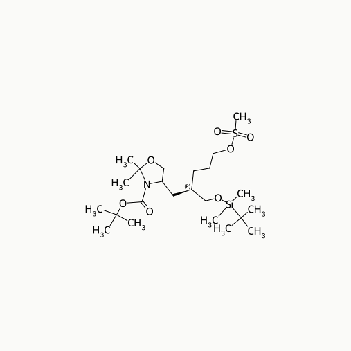 CC(C)(C)OC(=O)N1C(C[C@@H](CCCOS(C)(=O)=O)CO[Si](C)(C)C(C)(C)C)COC1(C)C